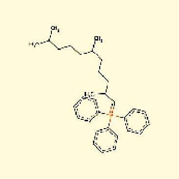 CC(C)CCCC(C)CCCC(C)C=P(c1ccccc1)(c1ccccc1)c1ccccc1